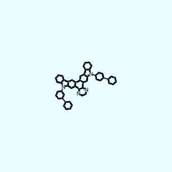 c1ccc(-c2ccc(-n3c4ccccc4c4cc5c6cc7c8ccccc8n(-c8cccc(-c9ccccc9)c8)c7cc6c6nccnc6c5cc43)cc2)cc1